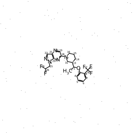 C[C@H](Oc1ccccc1C(F)(F)F)[C@@H]1CCCN(c2cnc3cnn(CC(F)F)c3n2)C1